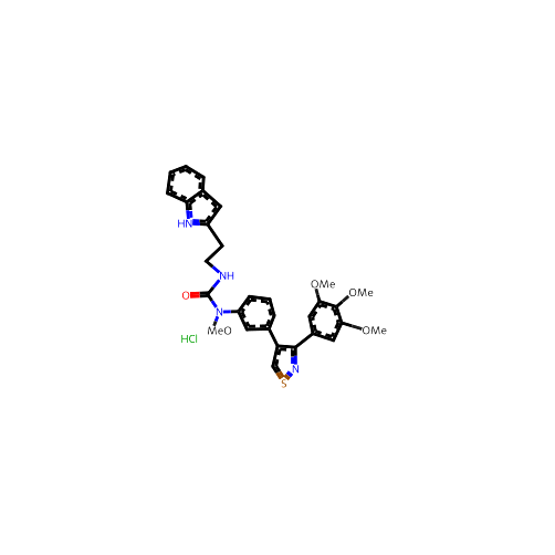 COc1cc(-c2nscc2-c2cccc(N(OC)C(=O)NCCc3cc4ccccc4[nH]3)c2)cc(OC)c1OC.Cl